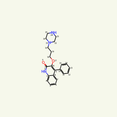 O=c1[nH]c2ccccc2c(-c2ccccc2)c1OCCCN1CCNCC1